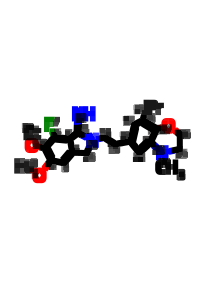 CCOc1cc2c(c(F)c1OCC)C(=N)N(C[CH]c1cc(C(C)C)c3c(c1)N(C)CCO3)C2